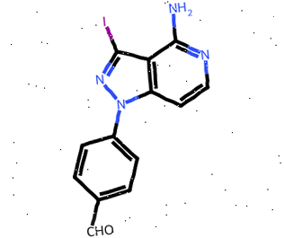 Nc1nccc2c1c(I)nn2-c1ccc(C=O)cc1